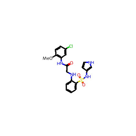 COc1ccc(Cl)cc1NC(=O)CNc1ccccc1S(=O)(=O)Nc1cc[nH]c1